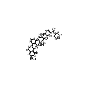 Cn1nc(-c2ccnc(-n3ncc4cc(C(C)(C)C)cc(F)c4c3=O)c2CO)cc(Nc2ccc(C(=O)N3CCOCC3)cn2)c1=O